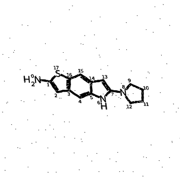 Nc1cc2cc3[nH]c(N4CCCC4)cc3cc2s1